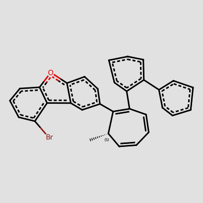 C[C@H]1C=CC=CC(c2ccccc2-c2ccccc2)=C1c1ccc2oc3cccc(Br)c3c2c1